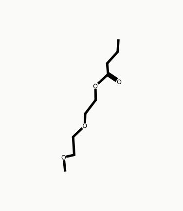 CCCC(=O)OCCOCCOC